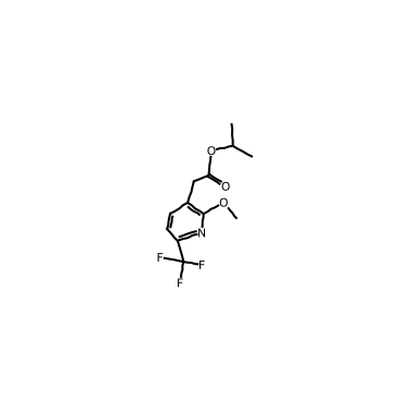 COc1nc(C(F)(F)F)ccc1CC(=O)OC(C)C